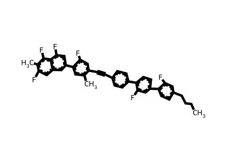 CCCCc1ccc(-c2ccc(-c3ccc(C#Cc4cc(F)c(-c5cc(F)c6c(F)c(C)c(F)cc6c5)cc4C)cc3)c(F)c2)c(F)c1